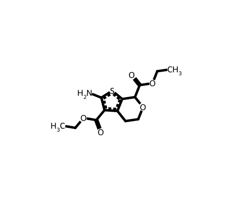 CCOC(=O)c1c(N)sc2c1CCOC2C(=O)OCC